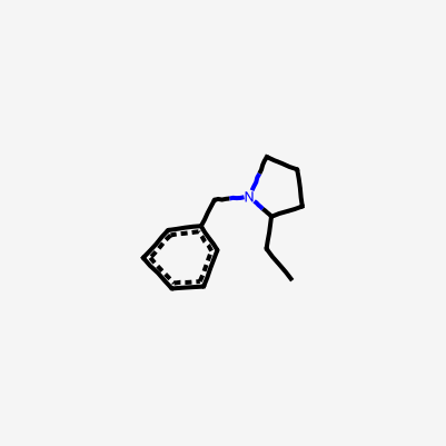 CCC1CCCN1Cc1ccccc1